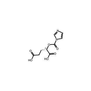 O=C(O)CC[C@H](OC(=O)n1ccnc1)C(=O)O